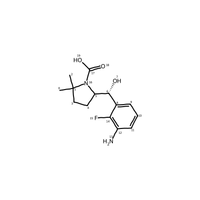 CC1(C)CCC([C@H](O)c2cccc(N)c2F)N1C(=O)O